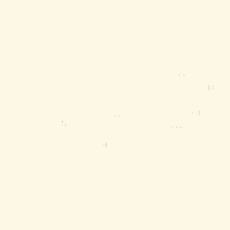 CCCCCN(CCCCC)c1ccc(C(=O)c2ccccc2C(=O)OCC(O)C2OC(=O)C(O)=C2O)c(O)c1